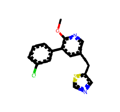 COc1ncc(Cc2cncs2)cc1-c1cccc(Cl)c1